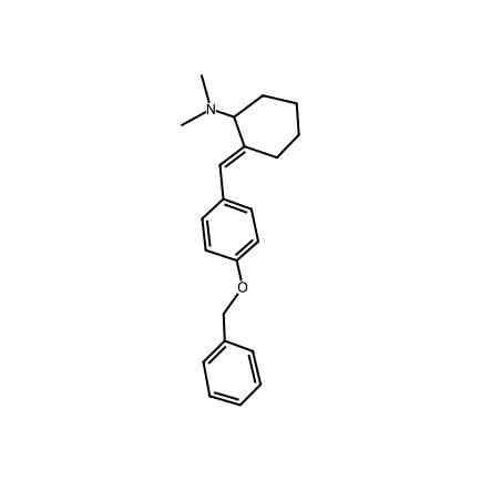 CN(C)C1CCCCC1=Cc1ccc(OCc2ccccc2)cc1